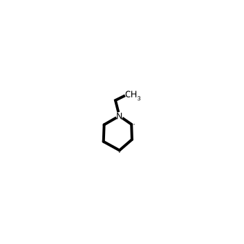 CCN1[CH]C[CH]CC1